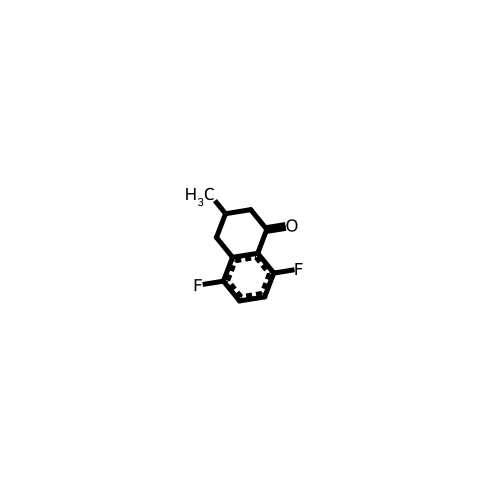 CC1CC(=O)c2c(F)ccc(F)c2C1